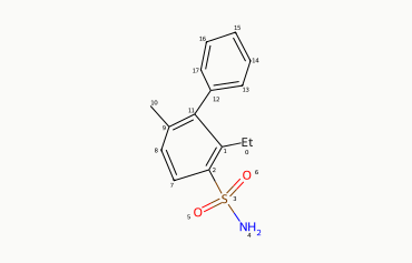 CCc1c(S(N)(=O)=O)ccc(C)c1-c1ccccc1